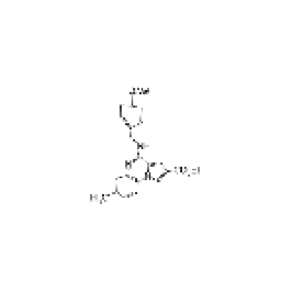 CCOC(=O)c1cc2c(NCc3ccc(OC)cc3)nc3cc(C)ccc3n2c1